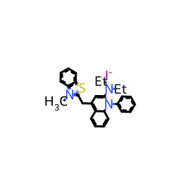 CCN(CC)C1=CC(Cc2sc3ccccc3[n+]2C)=C2C=CC=CC2N1c1ccccc1.[I-]